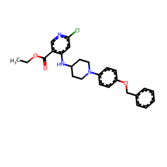 CCOC(=O)c1cnc(Cl)cc1NC1CCN(c2ccc(OCc3ccccc3)cc2)CC1